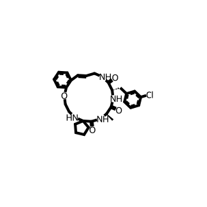 C[C@H]1NC(=O)C2(CCCC2)NCCOc2ccccc2/C=C/CNC(=O)[C@H](Cc2cccc(Cl)c2)NC1=O